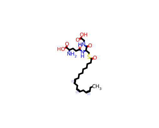 CC/C=C\C/C=C\C/C=C\CCCCCCCC(=O)SCC(NC(=O)CCC(N)C(=O)O)C(=O)NCC(=O)O